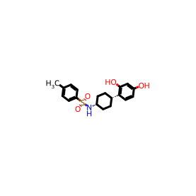 Cc1ccc(S(=O)(=O)N[C@H]2CC[C@@H](c3ccc(O)cc3O)CC2)cc1